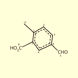 Cc1ccc(C=O)cc1C(=O)O